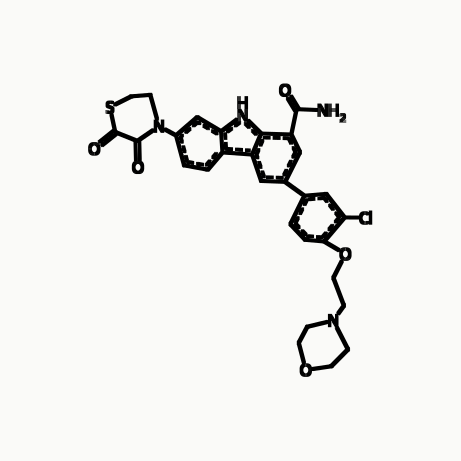 NC(=O)c1cc(-c2ccc(OCCN3CCOCC3)c(Cl)c2)cc2c1[nH]c1cc(N3CCSC(=O)C3=O)ccc12